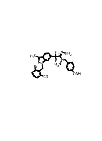 COc1ccc(CN(N)/C(=N\N)C(F)(F)c2ccc3c(C)nn(Cc4c(Br)cccc4C#N)c3c2)cc1